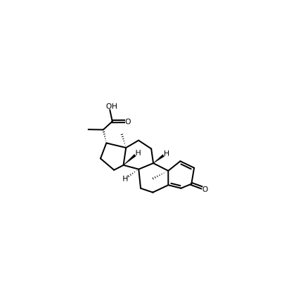 CC(C(=O)O)[C@H]1CC[C@H]2[C@@H]3CCC4=CC(=O)C=C[C@]4(C)[C@H]3CC[C@]12C